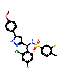 COc1ccc(C2CC(C(NS(=O)(=O)c3ccc(C)c(F)c3)c3ccc(Cl)cc3Cl)=NN2)cc1